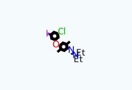 CCN(/C=N/c1cc(C)c(Oc2cc(Cl)cc(I)c2)cc1C)CC